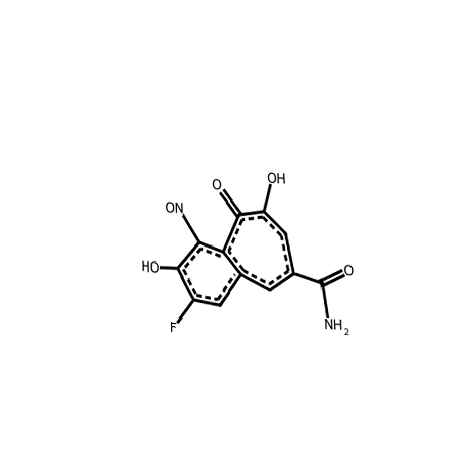 NC(=O)c1cc(O)c(=O)c2c(N=O)c(O)c(F)cc2c1